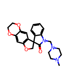 CN1CCN(CN2C(=O)C3(COc4cc5c(cc43)OCCO5)c3ccccc32)CC1